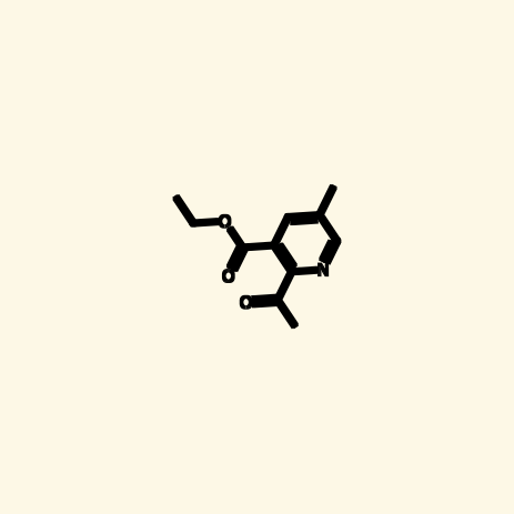 CCOC(=O)c1cc(C)cnc1C(C)=O